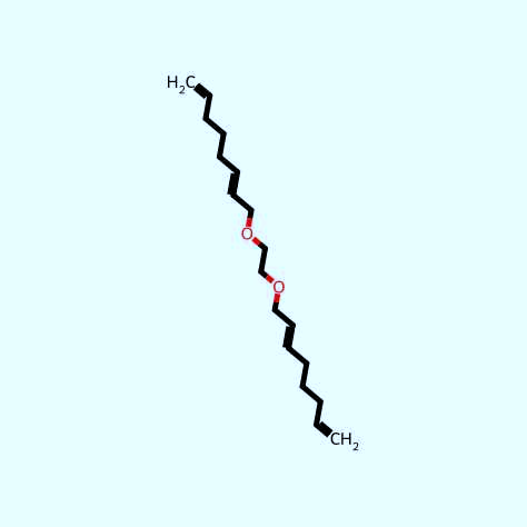 C=CCCCC=CCOCCOCC=CCCCC=C